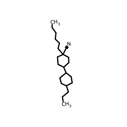 CCCCCCC1(C#N)CCC(C2CCC(CCC)CC2)CC1